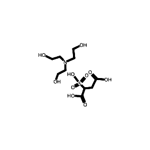 O=C(O)CC(C(=O)O)S(=O)(=O)O.OCCN(CCO)CCO